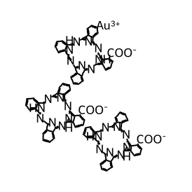 O=C([O-])c1cccc2c3nc4nc(nc5[nH]c(nc6nc(nc([nH]3)c12)-c1ccccc1-6)c1ccccc51)-c1ccccc1-4.O=C([O-])c1cccc2c3nc4nc(nc5[nH]c(nc6nc(nc([nH]3)c12)-c1ccccc1-6)c1ccccc51)-c1ccccc1-4.O=C([O-])c1cccc2c3nc4nc(nc5[nH]c(nc6nc(nc([nH]3)c12)-c1ccccc1-6)c1ccccc51)-c1ccccc1-4.[Au+3]